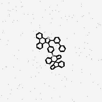 c1ccc(-c2cccc(-c3oc4c5ccccc5c5ccccc5c4c3-c3ccc(N4c5ccccc5C5(c6ccccc6-c6ccccc65)c5ccccc54)cc3)c2)cc1